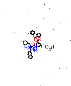 O=C(O)c1cc(NC(=O)c2nc(-c3ccc4ccccc4c3)[nH]c2CC2CCCCCC2)cc(C(=O)OC(Cc2ccccc2)c2ccccc2)c1